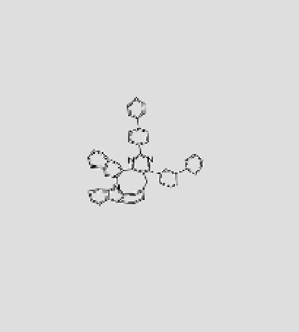 c1ccc(-c2ccc(-c3nc(-c4cccc(-c5ccccc5)c4)c4c(n3)-c3cc5ccccc5cc3-n3c5ccccc5c5ccc(cc53)C4)cc2)cc1